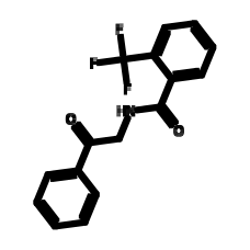 O=C(CNC(=O)c1ccccc1C(F)(F)F)c1ccccc1